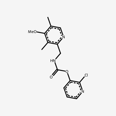 COc1c(C)cnc(CNC(=O)Oc2cccnc2Cl)c1C